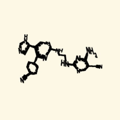 N#Cc1ccc(-c2nc(NCCNc3ncc(C#N)c(N)n3)ncc2-c2cnc[nH]2)cc1